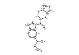 COC(=O)c1ccc2[nH]cc(C(=O)C3CCc4[nH]cnc4C3)c2c1